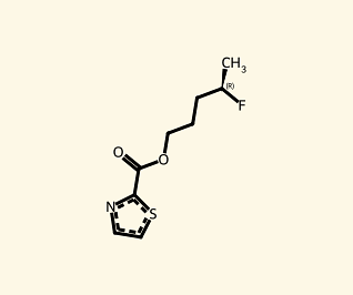 C[C@@H](F)CCCOC(=O)c1nccs1